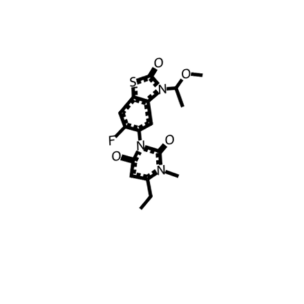 CCc1cc(=O)n(-c2cc3c(cc2F)sc(=O)n3C(C)OC)c(=O)n1C